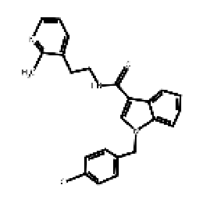 Cc1ncccc1CCNC(=O)c1cn(Cc2ccc(Cl)cc2)c2ccccc12